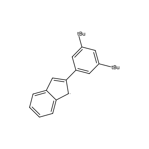 CC(C)(C)c1cc(C2=Cc3ccccc3[CH]2)cc(C(C)(C)C)c1